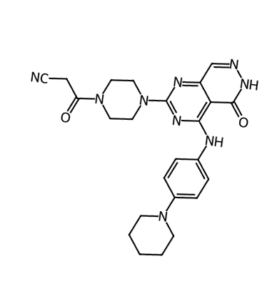 N#CCC(=O)N1CCN(c2nc(Nc3ccc(N4CCCCC4)cc3)c3c(=O)[nH]ncc3n2)CC1